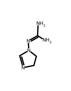 NC(N)=NN1C=NCC1